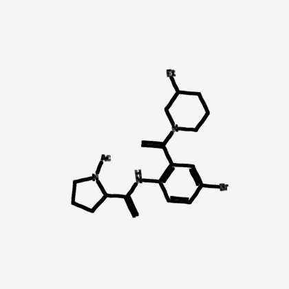 C=C(Nc1ccc(Br)cc1C(=C)N1CCCC(CC)C1)C1CCCN1C(C)=O